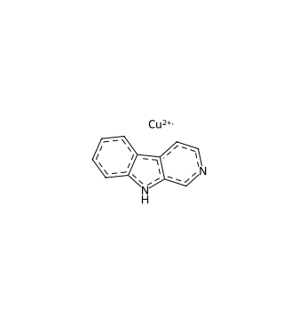 [Cu+2].c1ccc2c(c1)[nH]c1cnccc12